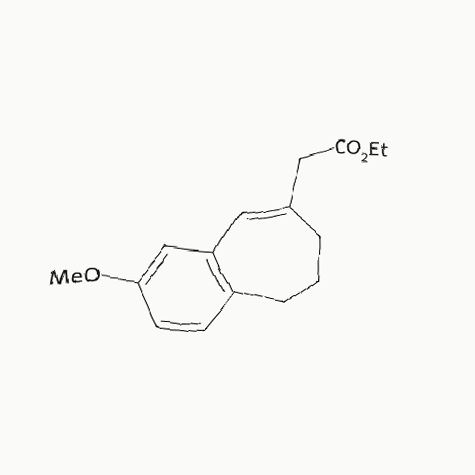 CCOC(=O)CC1=Cc2cc(OC)ccc2CCC1